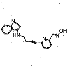 O/N=C/c1cccc(C#CCCNc2ccnc3ccccc23)n1